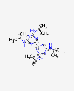 C=C(C)Nc1nc(NC(=C)C)nc(-c2nc(NC(C)C)nc(NC(C)C)n2)n1